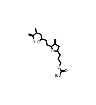 C=C(I)C(C)CC(O)CCC1OC(CCCOC(=O)C(C)(C)C)CC1=C